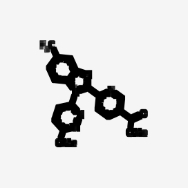 COC(=O)c1ccc(-c2nc3cc(C(F)(F)F)ccc3n2-c2ccc(OC)nn2)nc1